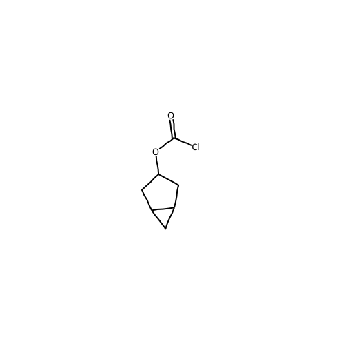 O=C(Cl)OC1CC2CC2C1